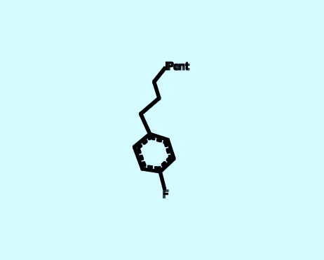 CCCC(C)CCCc1ccc(F)cc1